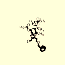 CC(=O)O[C@H](C[C@H](C(C)C)N(C)C(=O)OC(C)(C)C)c1nc(C=O)c(CCOCc2ccccc2)s1